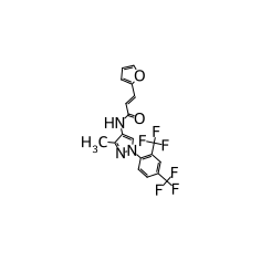 Cc1nn(-c2ccc(C(F)(F)F)cc2C(F)(F)F)cc1NC(=O)C=Cc1ccco1